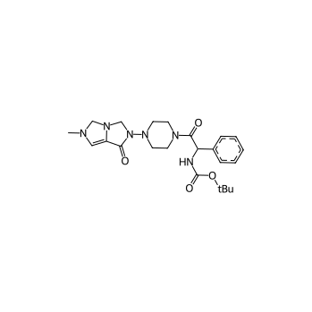 CN1C=C2C(=O)N(N3CCN(C(=O)C(NC(=O)OC(C)(C)C)c4ccccc4)CC3)CN2C1